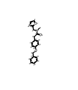 CN(Cc1ncco1)C(=O)Cc1ccc(OCc2ccccc2)cc1